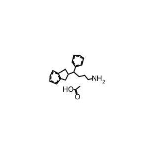 CC(=O)O.NCCCC(c1ccccc1)C1Cc2ccccc2C1